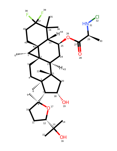 C[C@H]1[C@@]23CC[C@]4(C)[C@@H]([C@]5(C)CC[C@@H](C(C)(C)O)O5)[C@@H](O)C[C@@]4(C)[C@@H]2C[C@H](OC(=O)[C@H](C)NCl)[C@H]2C(C)(C)C(F)(F)CC[C@@]123